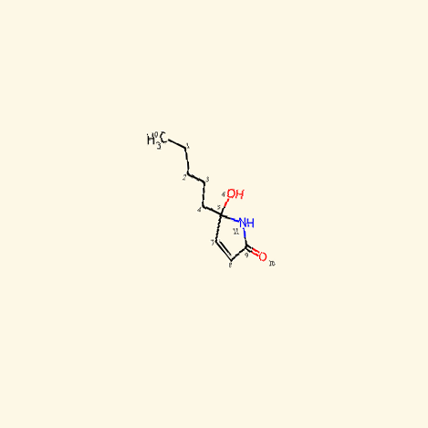 CCCCCC1(O)C=CC(=O)N1